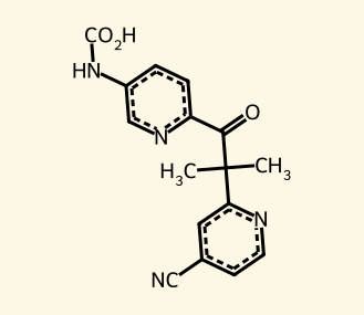 CC(C)(C(=O)c1ccc(NC(=O)O)cn1)c1cc(C#N)ccn1